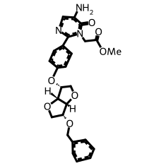 COC(=O)Cn1c(-c2ccc(O[C@@H]3CO[C@H]4[C@@H]3OC[C@H]4OCc3ccccc3)cc2)ncc(N)c1=O